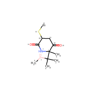 CBC(C)(C)C1(C)NC(=O)C(SC(C)C)CC1=O